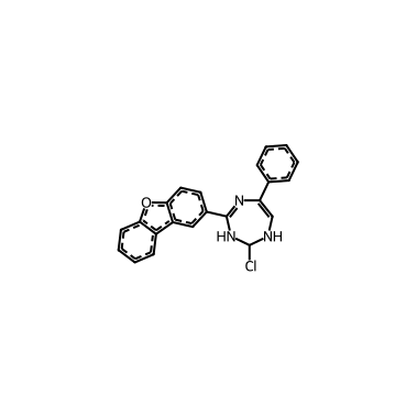 ClC1NC=C(c2ccccc2)N=C(c2ccc3oc4ccccc4c3c2)N1